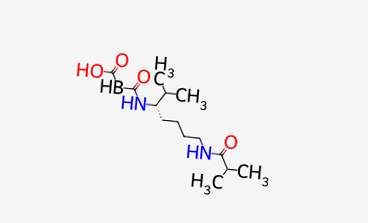 CC(C)C(=O)NCCCC[C@H](NC(=O)BC(=O)O)C(C)C